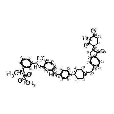 CN(c1cccc(CNc2nc(Nc3ccc(C4CCN(Cc5ccc6c(c5)CN(C5CCC(=O)NC5=O)C6=O)CC4)cc3)ncc2C(F)(F)F)c1)S(C)(=O)=O